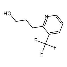 OCCCc1ncccc1C(F)(F)F